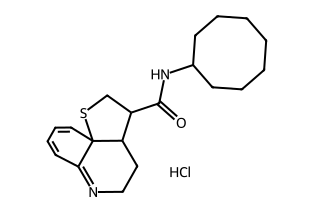 Cl.O=C(NC1CCCCCCC1)C1CSC23C=CC=CC2=NCCC13